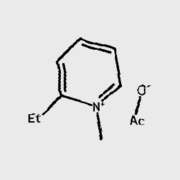 CC(=O)[O-].CCc1cccc[n+]1C